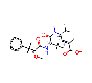 CO[C@@H](C(=O)N[C@H](C(=O)N(C)[C@H](/C=C(\C)C(=O)O)C(C)C)C(C)(C)C)C(C)(C)c1ccccc1